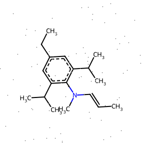 CC=CN(C)c1c(C(C)C)cc(CC)cc1C(C)C